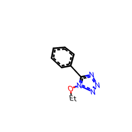 CCOn1nnnc1-c1ccccc1